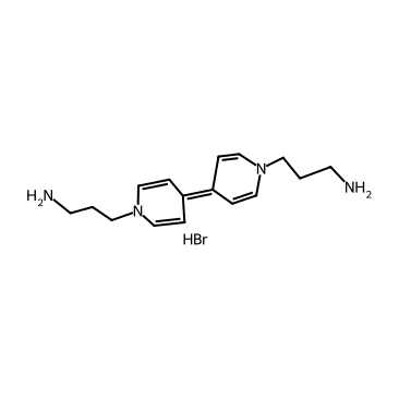 Br.NCCCN1C=CC(=C2C=CN(CCCN)C=C2)C=C1